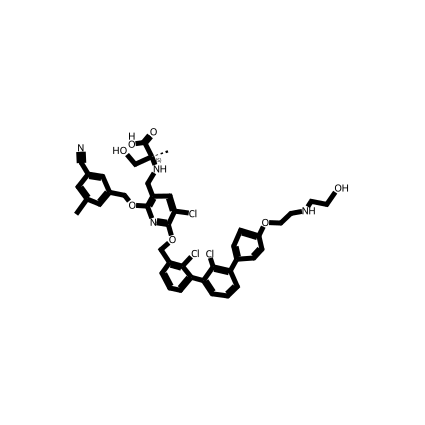 Cc1cc(C#N)cc(COc2nc(OCc3cccc(-c4cccc(-c5ccc(OCCNCCO)cc5)c4Cl)c3Cl)c(Cl)cc2CN[C@@](C)(CO)C(=O)O)c1